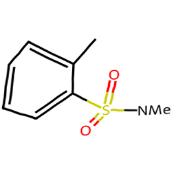 CNS(=O)(=O)c1ccccc1C